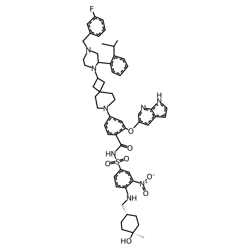 CC(C)c1ccccc1C1CN(Cc2cccc(F)c2)CCN1C1CC2(CCN(c3ccc(C(=O)NS(=O)(=O)c4ccc(NC[C@H]5CC[C@](C)(O)CC5)c([N+](=O)[O-])c4)c(Oc4cnc5[nH]ccc5c4)c3)CC2)C1